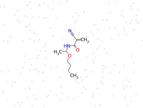 C=C(C#N)C(=O)NC(C)OCCCC